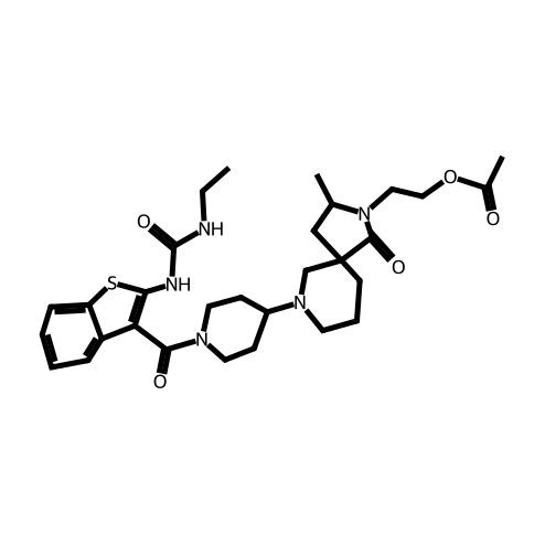 CCNC(=O)Nc1sc2ccccc2c1C(=O)N1CCC(N2CCCC3(CC(C)N(CCOC(C)=O)C3=O)C2)CC1